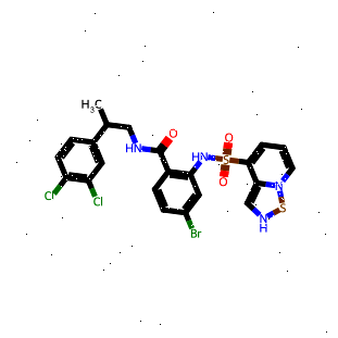 CC(CNC(=O)c1ccc(Br)cc1NS(=O)(=O)C1=CC=CN2SNC=C12)c1ccc(Cl)c(Cl)c1